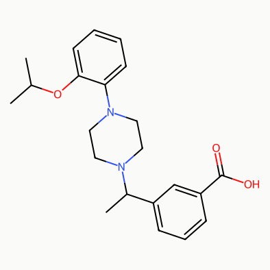 CC(C)Oc1ccccc1N1CCN(C(C)c2cccc(C(=O)O)c2)CC1